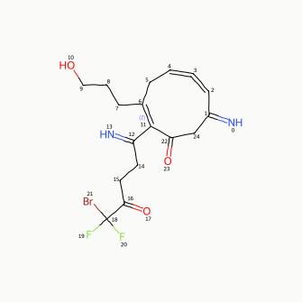 N=C1C=C=CC/C(CCCO)=C(/C(=N)CCC(=O)C(F)(F)Br)C(=O)C1